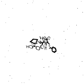 C[C@H](NC(CSc1ccccc1)C(=O)O)C(=O)N1CCC[C@H]1C(=O)O